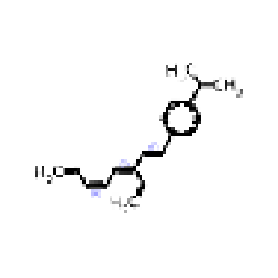 C=C\C=C/C=C(C=C)/C=C/c1ccc(C(C)C)cc1